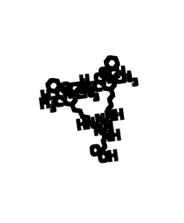 CC1(C)CC(CCCCNc2nc(NCCCCC3CC(C)(C)N(OC4CCCCC4)C(C)(C)C3)nc(NCCC(=O)O)n2)CC(C)(C)N1OC1CCCCC1